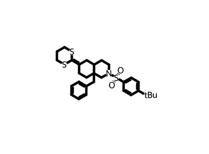 CC(C)(C)c1ccc(S(=O)(=O)N2CCC3CC(=C4SCCCS4)CCC3(Cc3ccccc3)C2)cc1